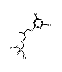 CC(COCP(=O)(OC(C)C)OC(C)C)COc1cc(N)nc(N)n1